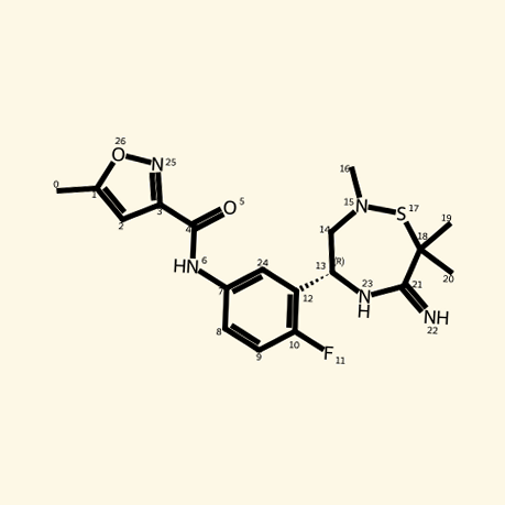 Cc1cc(C(=O)Nc2ccc(F)c([C@@H]3CN(C)SC(C)(C)C(=N)N3)c2)no1